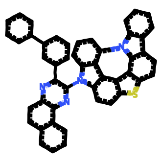 c1ccc(-c2cccc(-c3nc4ccc5ccccc5c4nc3-n3c4ccc5sc6ccc7c8ccccc8n8c9cccc3c9c4c5c6c78)c2)cc1